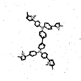 Cc1ccc(-c2ccc(N(c3ccc(-c4ccc(N(c5ccc(-c6ccc(C)n6C)cc5)c5ccc(-c6ccc(C)n6C)cc5)cc4)cc3)c3ccc(-c4ccc(C)n4C)cc3)cc2)n1C